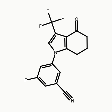 N#Cc1cc(F)cc(-n2cc(C(F)(F)F)c3c2CCCC3=O)c1